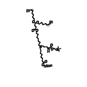 CC/C=C\CCCCOC(CCC(=O)OCCCCCCCN(CCCCCCCC(=O)OCCCCCCCCC)CCCNC(=O)OCC[Si](C)(C)C)OCCCC/C=C\CC